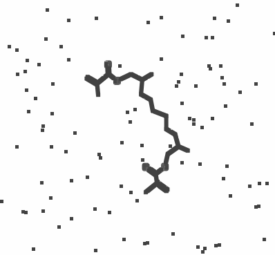 C=C(C)C(=O)OCC(C)CCCCCCC(C)COC(=O)C(=C)C